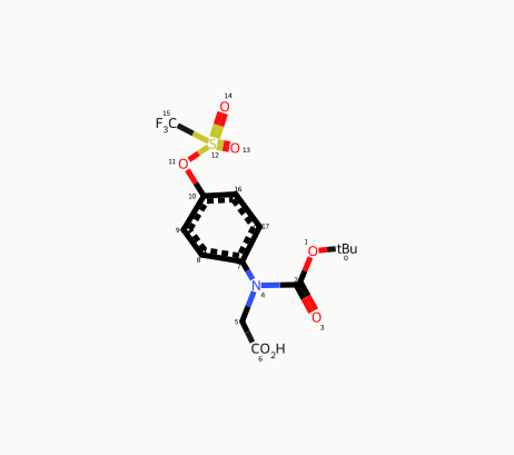 CC(C)(C)OC(=O)N(CC(=O)O)c1ccc(OS(=O)(=O)C(F)(F)F)cc1